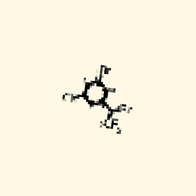 FC(F)(F)C(Br)c1cc(Cl)cc(Br)c1